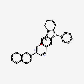 C=C/C=C(\C=C/c1ccc2c3c(n(-c4ccccc4)c2c1)C=CCC3)c1ccc2ccccc2c1